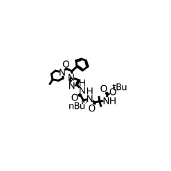 CCCC[C@@H](NC(=O)C(C)(C)NC(=O)OC(C)(C)C)C(=O)Nc1cn(C(C(=O)N2CCC(C)CC2)c2ccccc2)cn1